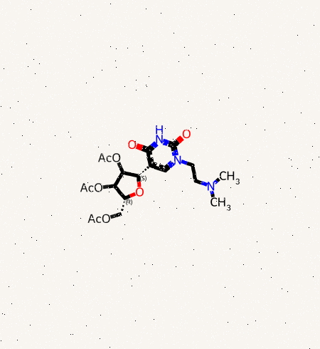 CC(=O)OC[C@H]1O[C@@H](c2cn(CCN(C)C)c(=O)[nH]c2=O)C(OC(C)=O)C1OC(C)=O